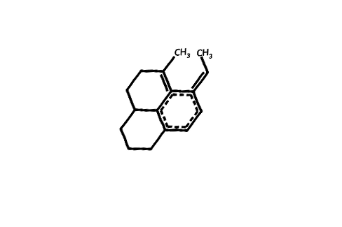 C/C=c1/ccc2c3c1=C(C)CCC3CCC2